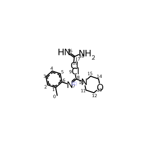 Cc1ccccc1/N=C(\Cl)N1CCOCC1.N=C(N)Cl